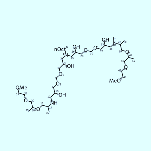 CCCCCCCCN(CC(O)COCOCC(O)CNC(C)COC(C)COCCOC)CC(O)COCOCC(O)CNC(C)COC(C)COCCOC